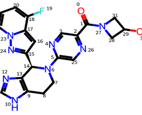 O=C(c1cnc(N2CCc3[nH]cnc3[C@H]2c2cc3c(F)cccn3n2)cn1)N1CC(O)C1